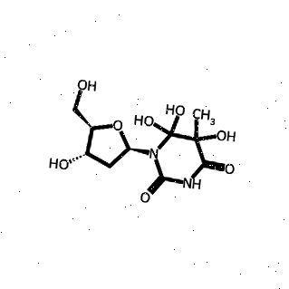 CC1(O)C(=O)NC(=O)N([C@H]2C[C@H](O)[C@@H](CO)O2)C1(O)O